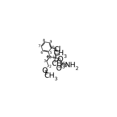 COCC[C@@H](c1ccccc1Cl)C(C)(C)OC(N)=O